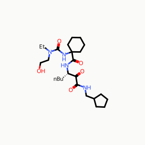 CCCC[C@H](NC(=O)C1(NC(=O)N(CC)CCO)CCCCC1)C(=O)C(=O)NCC1CCCC1